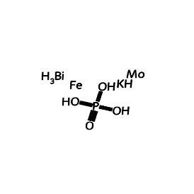 O=P(O)(O)O.[BiH3].[Fe].[KH].[Mo]